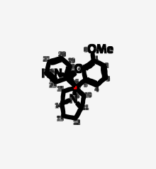 COc1cccc(C2(C(N)=O)CC3CCC(C2)N3Cc2ccccc2)c1